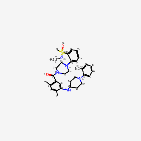 Cc1cc(C)c(C(=O)N2CCN(c3ccccc3S(C)(=O)=NC(=O)O)CC2)cc1NC1CCN(c2ccccc2C#N)CC1